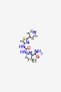 CCc1ccc(NC(=O)Nc2csc(-c3ccncc3)n2)nc1C(N)=O